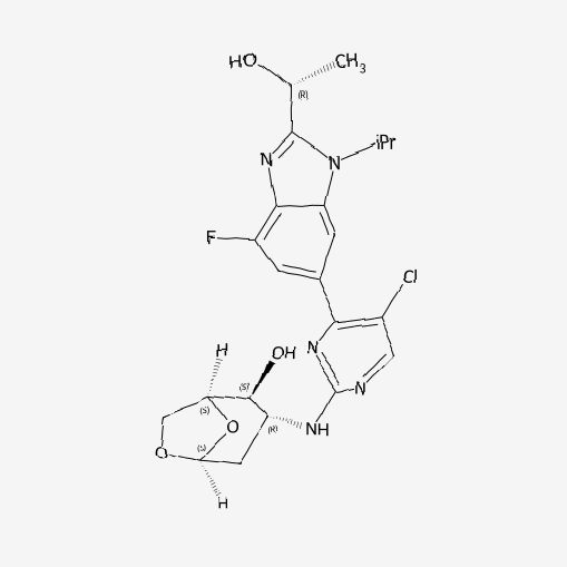 CC(C)n1c([C@@H](C)O)nc2c(F)cc(-c3nc(N[C@@H]4C[C@H]5OC[C@H](O5)[C@H]4O)ncc3Cl)cc21